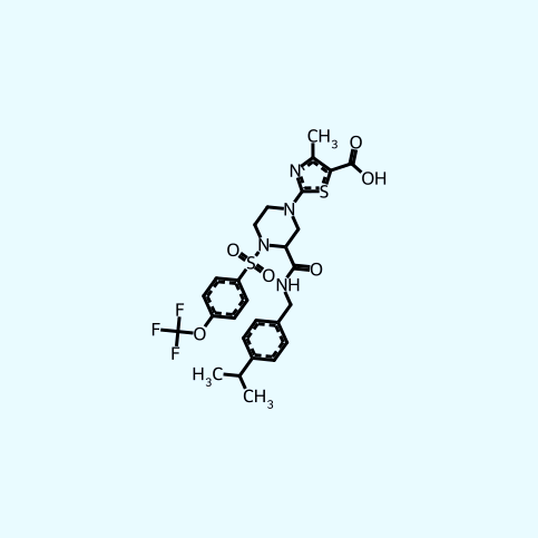 Cc1nc(N2CCN(S(=O)(=O)c3ccc(OC(F)(F)F)cc3)C(C(=O)NCc3ccc(C(C)C)cc3)C2)sc1C(=O)O